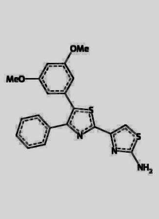 COc1cc(OC)cc(-c2sc(-c3csc(N)n3)nc2-c2ccccc2)c1